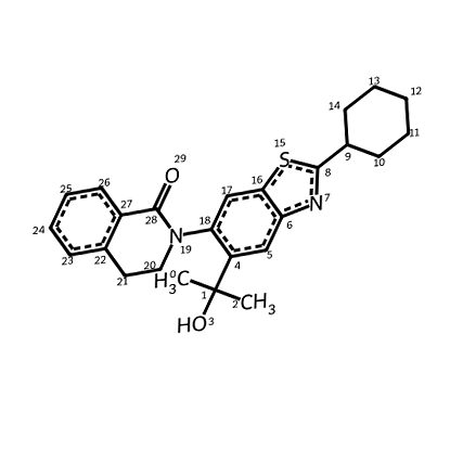 CC(C)(O)c1cc2nc(C3CCCCC3)sc2cc1N1CCc2ccccc2C1=O